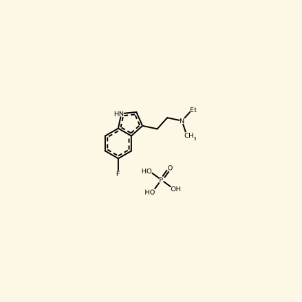 CCN(C)CCc1c[nH]c2ccc(F)cc12.O=P(O)(O)O